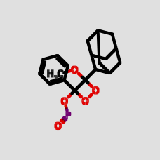 COC1(C2C3CC4CC(C3)CC2C4)OOC1(OP=O)c1ccccc1